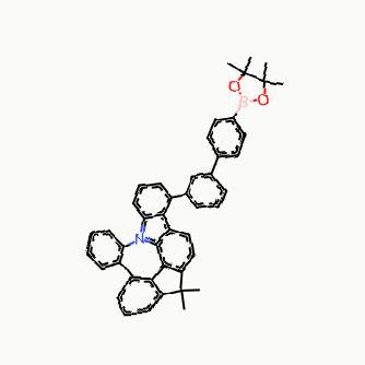 CC1(C)c2cccc3c2-c2c1ccc1c4c(-c5cccc(-c6ccc(B7OC(C)(C)C(C)(C)O7)cc6)c5)cccc4n(c21)-c1ccccc1-3